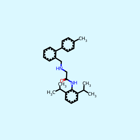 Cc1ccc(-c2ccccc2CNCC(=O)Nc2c(C(C)C)cccc2C(C)C)cc1